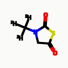 [2H]C([2H])([2H])N1CC(=O)SC1=O